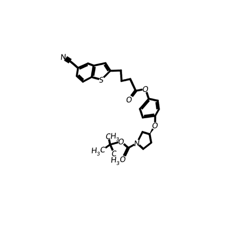 CC(C)(C)OC(=O)N1CC[C@H](Oc2ccc(OC(=O)CCCc3cc4cc(C#N)ccc4s3)cc2)C1